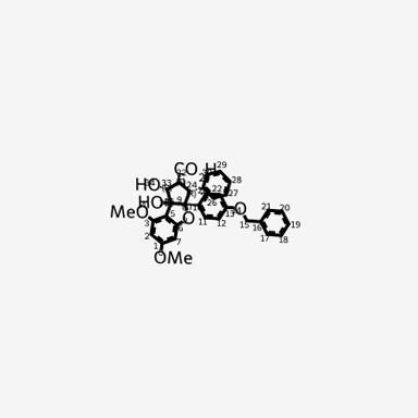 COc1cc(OC)c2c(c1)O[C@@]1(c3ccc(OCc4ccccc4)cc3)[C@@H](c3ccccc3)[C@H](C(=O)O)[C@@H](O)[C@@]21O